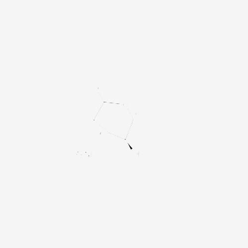 CC(=O)N[C@@H]1CC(O)O[C@H](C)[C@H]1O